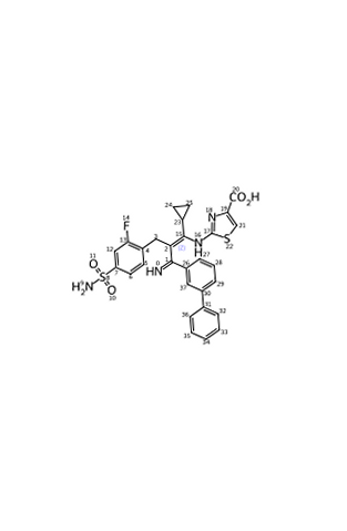 N=C(/C(Cc1ccc(S(N)(=O)=O)cc1F)=C(\Nc1nc(C(=O)O)cs1)C1CC1)c1cccc(-c2ccccc2)c1